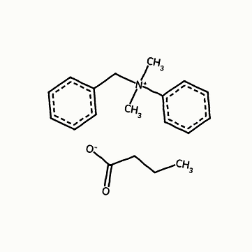 CCCC(=O)[O-].C[N+](C)(Cc1ccccc1)c1ccccc1